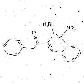 Nc1c(C(=O)Cc2ccccc2)nc2ccccc2c1[N+](=O)[O-]